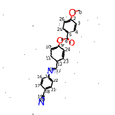 COc1ccc(C(=O)OC2=CCC(/C=N/c3ccc(C#N)cc3)C=C2)cc1